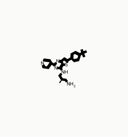 C[C@H](CN)CNc1nc(-c2ccncc2)nc2cc(-c3ccc(C(C)(C)C)cc3)sc12